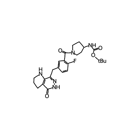 CC(C)(C)OC(=O)NC1CCN(C(=O)c2cc(Cc3n[nH]c(=O)c4c3NCCC4)ccc2F)CC1